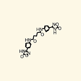 O=C(CCCC(=O)Nc1ccc(-c2noc(=O)[nH]2)cc1)Nc1ccc(-c2noc(=O)[nH]2)cc1